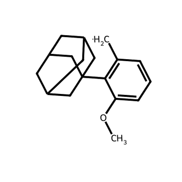 [CH2]c1cccc(OC)c1C12CC3CC(CC(C3)C1)C2